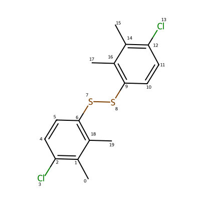 Cc1c(Cl)ccc(SSc2ccc(Cl)c(C)c2C)c1C